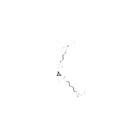 CCCCCCCCCCCNCCCCNC[C@H]1C[C@@H]1CNCCCCNCC